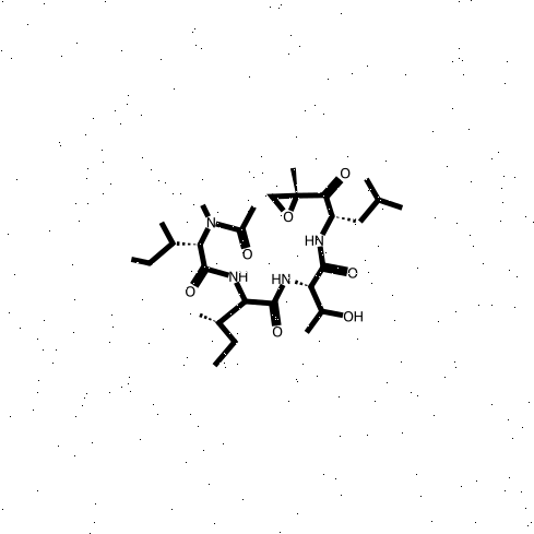 CCC(C)[C@@H](C(=O)NC(C(=O)N[C@H](C(=O)N[C@@H](CC(C)C)C(=O)[C@@]1(C)CO1)C(C)O)[C@@H](C)CC)N(C)C(C)=O